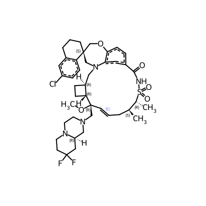 CO[C@@]1(CN2CCN3CCC(F)(F)C[C@@H]3C2)/C=C/C[C@H](C)[C@@H](C)S(=O)(=O)NC(=O)c2ccc3c(c2)N(C[C@@H]2CC[C@H]21)C[C@@]1(CCCc2cc(Cl)ccc21)CO3